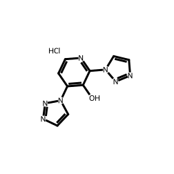 Cl.Oc1c(-n2ccnn2)ccnc1-n1ccnn1